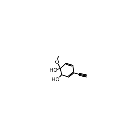 C#CC1=CC(O)C(O)(OC)C=C1